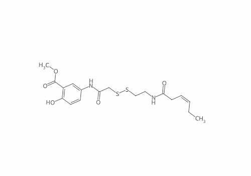 CC/C=C\CC(=O)NCCSSCC(=O)Nc1ccc(O)c(C(=O)OC)c1